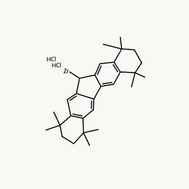 CC1(C)CCC(C)(C)c2cc3c(cc21)-c1cc2c(cc1[CH]3[Zr])C(C)(C)CCC2(C)C.Cl.Cl